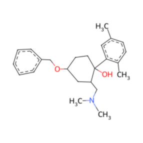 Cc1ccc(C)c(C2(O)CCC(OCc3ccccc3)CC2CN(C)C)c1